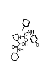 O=C(NC1CCCCC1)C(O)C1CCCN1C(=O)[C@H](Cc1ccccc1)Nn1ccc(=O)cc1